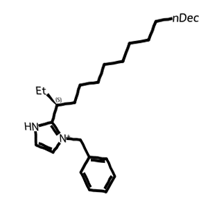 CCCCCCCCCCCCCCCCCC[C@H](CC)c1[nH]cc[n+]1Cc1ccccc1